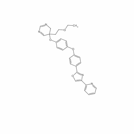 CCOCCC1(Oc2ccc(Oc3ccc(-c4nc(-c5ccccn5)co4)cc3)cc2)C=NC=NC1